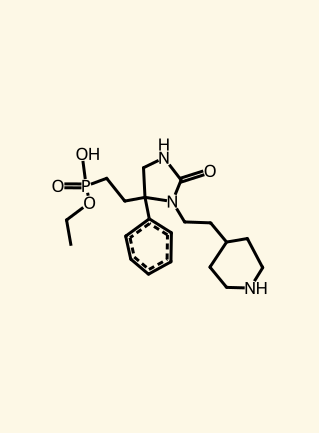 CCOP(=O)(O)CCC1(c2ccccc2)CNC(=O)N1CCC1CCNCC1